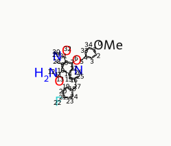 COc1ccc(COc2c3c(c(C(N)=O)c4cc(Cc5ccc(F)cc5)cnc24)CN(C)C3=O)cc1